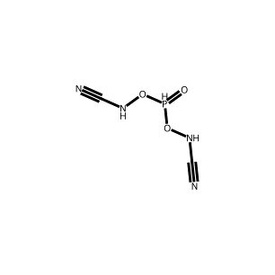 N#CNO[PH](=O)ONC#N